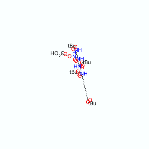 CC(C)(C)OC(=O)CCCCCCCCCCCCCCCCC(=O)N[C@@H](CCC(=O)N[C@@H](CCC(=O)NC(CCCCNC(=O)OC(C)(C)C)C(=O)NCCOCCOCC(=O)O)C(=O)OC(C)(C)C)C(=O)OC(C)(C)C